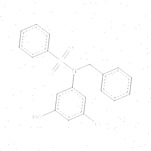 O=S(=O)(c1ccccc1)N(Cc1ccccc1)c1cc(O)cc(Cl)c1